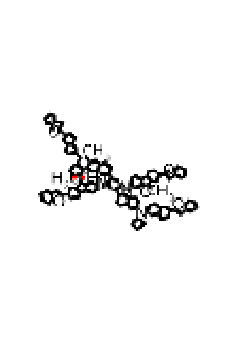 CC(c1ccc2c(ccc3c4cc5c(cc4n(-c4ccc6c(c4)C(C)(C)c4cc(-c7cc8ccccc8o7)ccc4-6)c23)c2ccc3cc(N(c4ccccc4)c4ccc6cc(-c7cc8ccccc8o7)ccc6c4)ccc3c2n5-c2ccc3c(c2)C(C)(C)c2cc(-c4cc5ccccc5o4)ccc2-3)c1)[C@H](c1ccccc1)c1ccc2cc(-c3cc4ccccc4o3)ccc2c1